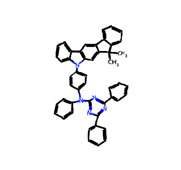 CC1(C)c2ccccc2-c2cc3c4ccccc4n(-c4ccc(N(c5ccccc5)c5nc(-c6ccccc6)nc(-c6ccccc6)n5)cc4)c3cc21